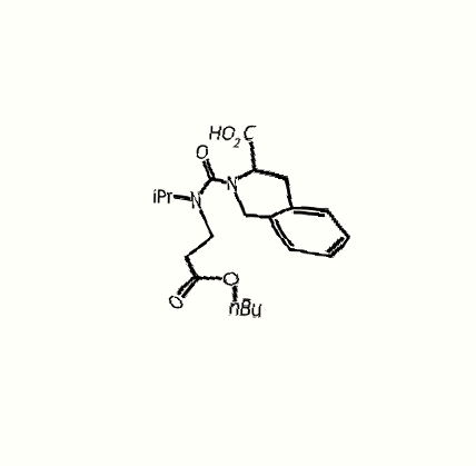 CCCCOC(=O)CCN(C(=O)N1Cc2ccccc2CC1C(=O)O)C(C)C